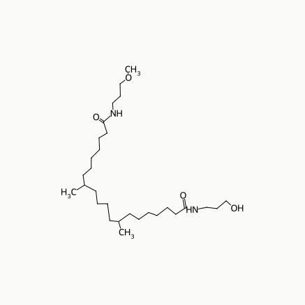 COCCCNC(=O)CCCCCCC(C)CCCCC(C)CCCCCCC(=O)NCCCO